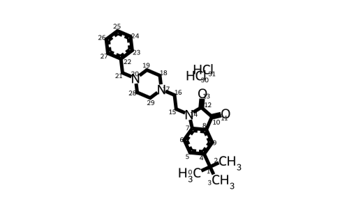 CC(C)(C)c1ccc2c(c1)C(=O)C(=O)N2CCN1CCN(Cc2ccccc2)CC1.Cl.Cl